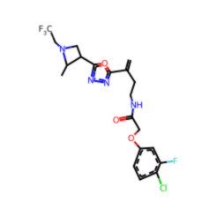 C=C(CCNC(=O)COc1ccc(Cl)c(F)c1)c1nnc(C2CN(CC(F)(F)F)C2C)o1